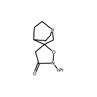 CCCN1OC2(CC1=O)CN1CCC2CC1